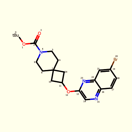 CC(C)(C)OC(=O)N1CCC2(CC1)CC(Oc1cnc3ccc(Br)cc3n1)C2